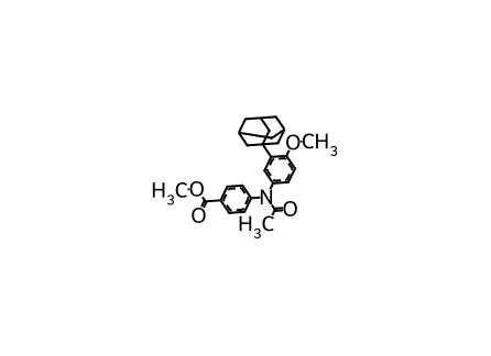 COC(=O)c1ccc(N(C(C)=O)c2ccc(OC)c(C34CC5CC(CC(C5)C3)C4)c2)cc1